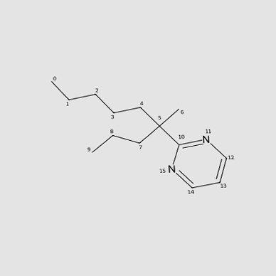 CCCCCC(C)(CCC)c1ncccn1